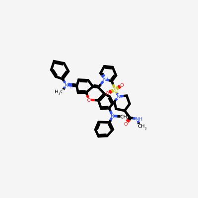 CNC(=O)C1CCN(S(=O)(=O)c2cccc[n+]2-c2c3cc/c(=[N+](/C)c4ccccc4)cc-3oc3cc(N(C)c4ccccc4)ccc23)CC1